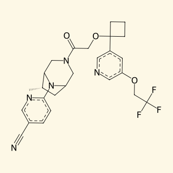 C[C@H]1CC2CN(C(=O)COC3(c4cncc(OCC(F)(F)F)c4)CCC3)CC1N2c1ccc(C#N)cn1